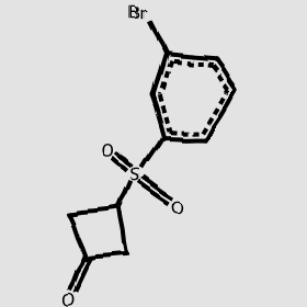 O=C1CC(S(=O)(=O)c2cccc(Br)c2)C1